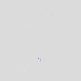 CC(Cl)C(=O)c1cccc2c1CCC(=O)N2